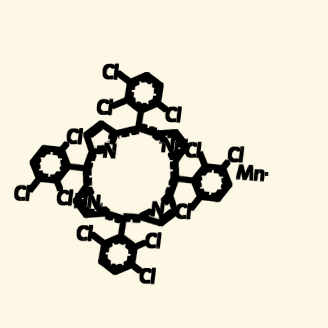 Clc1ccc(Cl)c(-c2c3nc(c(-c4c(Cl)ccc(Cl)c4Cl)c4ccc([nH]4)c(-c4c(Cl)ccc(Cl)c4Cl)c4nc(c(-c5c(Cl)ccc(Cl)c5Cl)c5ccc2[nH]5)C=C4)C=C3)c1Cl.[Mn]